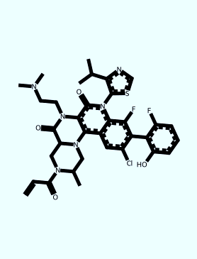 C=CC(=O)N1CC2C(=O)N(CCN(C)C)c3c(c4cc(Cl)c(-c5c(O)cccc5F)c(F)c4n(-c4scnc4C(C)C)c3=O)N2CC1C